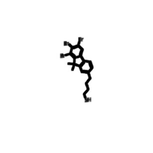 CC1(C)c2cc(CCCCS)ccc2-c2cc(Br)c(Br)c(Br)c21